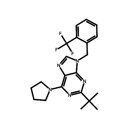 CC(C)(C)c1nc(N2CCCC2)c2ncn(Cc3ccccc3C(F)(F)F)c2n1